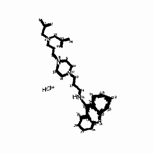 CC(C)CN(CCCN1CCN(CCCNc2c3c(nc4ccccc24)CCCC3)CC1)CC(C)C.Cl